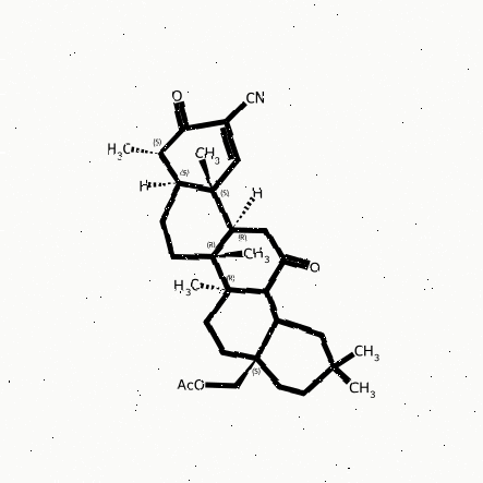 CC(=O)OC[C@]12CCC(C)(C)CC1C1C(=O)C[C@@H]3[C@@]4(C)C=C(C#N)C(=O)[C@@H](C)[C@@H]4CC[C@@]3(C)[C@]1(C)CC2